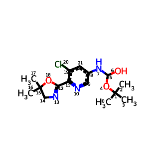 CC(C)(C)OC(O)Nc1cnc(C2=NCC(C)(C)O2)c(Cl)c1